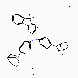 CC1(C)c2ccccc2-c2cc(N(c3ccc(C4CC5CCC4C5)cc3)c3ccc(C4C[C@H]5CCC4C5)cc3)ccc21